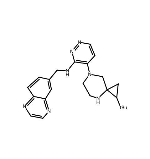 CC(C)(C)C1CC12CN(c1ccnnc1NCc1ccc3nccnc3c1)CCN2